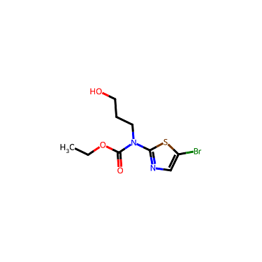 CCOC(=O)N(CCCO)c1ncc(Br)s1